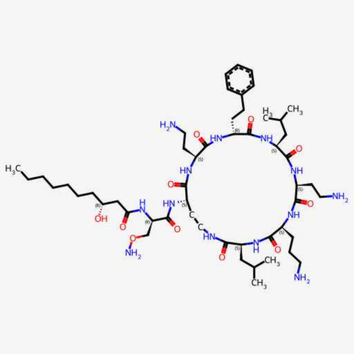 CCCCCCC[C@@H](O)CC(=O)N[C@H](CON)C(=O)N[C@H]1CCNC(=O)[C@H](CC(C)C)NC(=O)[C@H](CCCN)NC(=O)[C@H](CCN)NC(=O)[C@H](CC(C)C)NC(=O)[C@@H](CCc2ccccc2)NC(=O)[C@H](CCN)NC1=O